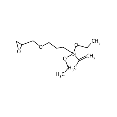 C=C(C)[Si](CCCOCC1CO1)(OCC)OCC